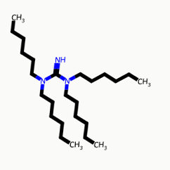 CCCCCCN(CCCCCC)C(=N)N(CCCCCC)CCCCCC